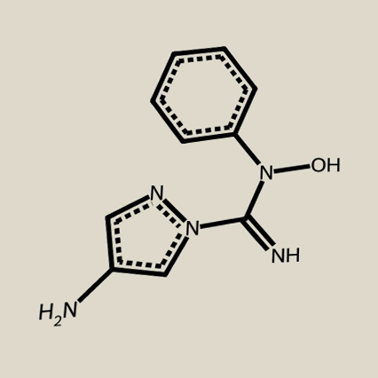 N=C(N(O)c1ccccc1)n1cc(N)cn1